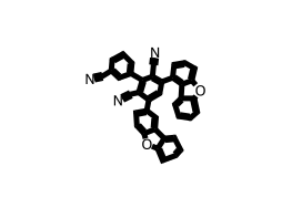 N#Cc1cccc(-c2c(C#N)c(-c3ccc4oc5ccccc5c4c3)cc(-c3cccc4oc5ccccc5c34)c2C#N)c1